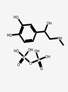 CNCC(O)c1ccc(O)c(O)c1.O=P(O)(O)OP(=O)(O)O